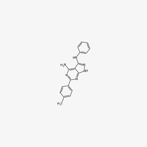 Cc1ccc(-c2nc(N)c3c(Nc4ccccc4)n[nH]c3n2)cc1